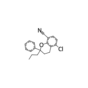 CCCC1(c2ccccc2)CCc2c(Cl)ccc(C#N)c2O1